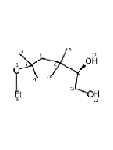 CCOC(C)(C)CC(C)(C)[C@@H](O)CO